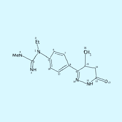 CCN(C(=N)NC)c1ccc(C2=NNC(=O)CC2C)cc1